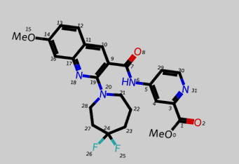 COC(=O)c1cc(NC(=O)c2cc3ccc(OC)cc3nc2N2CCCC(F)(F)CC2)ccn1